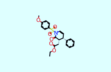 CCOC(=O)C[C@@H]1C(=O)N(S(=O)(=O)c2ccc(OC)cc2)C=C[C@@H]1c1ccccc1